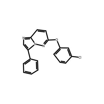 Clc1cccc(Oc2ccc3ncc(-c4ccccc4)n3n2)c1